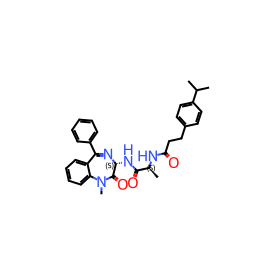 CC(C)c1ccc(CCC(=O)N[C@@H](C)C(=O)N[C@H]2N=C(c3ccccc3)c3ccccc3N(C)C2=O)cc1